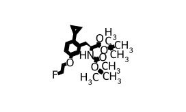 CC(C)(C)OC(=O)N[C@@H](Cc1cc(OCCF)ccc1C1CC1)C(=O)OC(C)(C)C